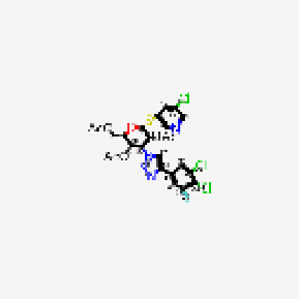 CC(=O)OC[C@H]1O[C@H](Sc2cncc(Cl)c2)[C@H](OC(C)=O)[C@@H](n2cc(-c3cc(F)c(Cl)c(Cl)c3)nn2)[C@H]1OC(C)=O